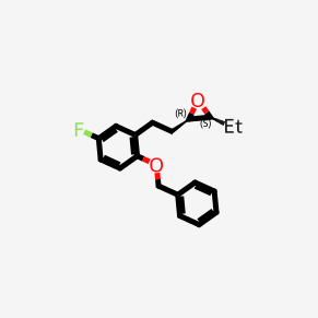 CC[C@@H]1O[C@@H]1CCc1cc(F)ccc1OCc1ccccc1